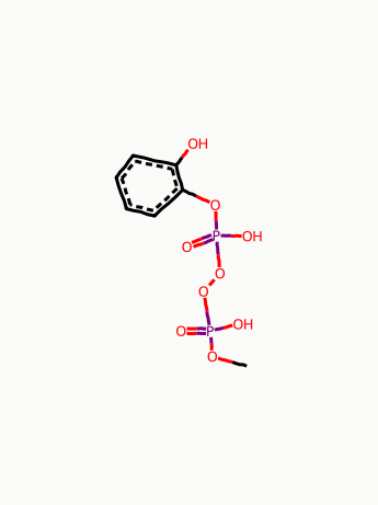 COP(=O)(O)OOP(=O)(O)Oc1ccccc1O